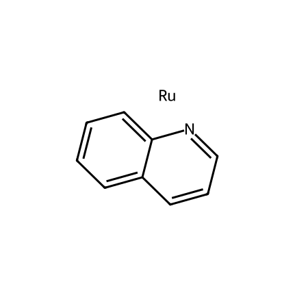 [Ru].c1ccc2ncccc2c1